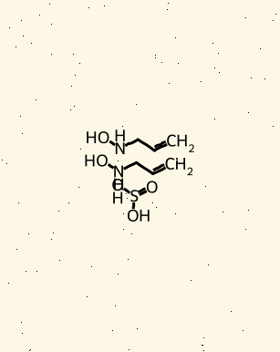 C=CCNO.C=CCNO.O=S(O)O